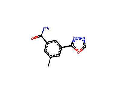 Cc1cc(C(N)=O)cc(-c2nnco2)c1